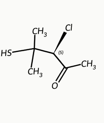 CC(=O)[C@H](Cl)C(C)(C)S